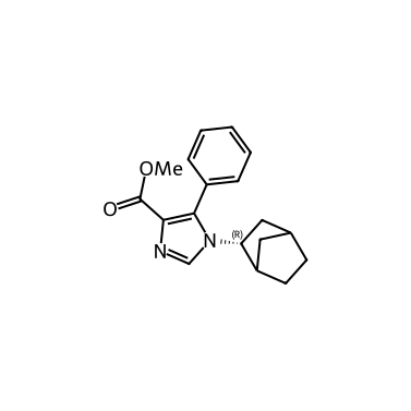 COC(=O)c1ncn([C@@H]2CC3CCC2C3)c1-c1ccccc1